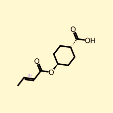 C/C=C/C(=O)O[C@H]1CC[C@H](C(=O)O)CC1